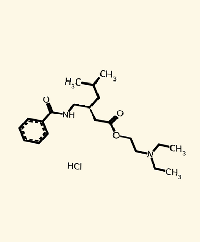 CCN(CC)CCOC(=O)C[C@@H](CNC(=O)c1ccccc1)CC(C)C.Cl